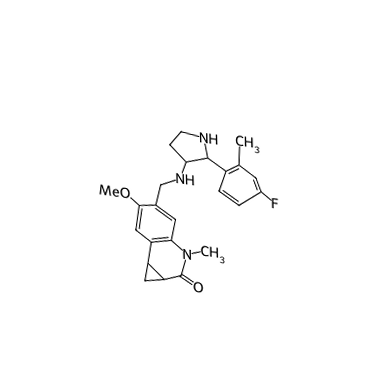 COc1cc2c(cc1CNC1CCNC1c1ccc(F)cc1C)N(C)C(=O)C1CC21